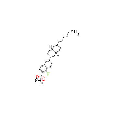 CCCCCCC1CC[C@@H]2CC(c3ccc4c(F)c(C(=O)OC)ccc4c3)CC[C@H]2C1